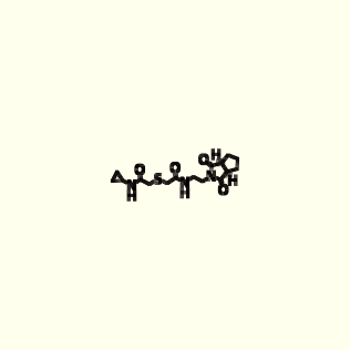 O=C(CSCC(=O)NC1CC1)NCCN1C(=O)[C@H]2CCC[C@H]2C1=O